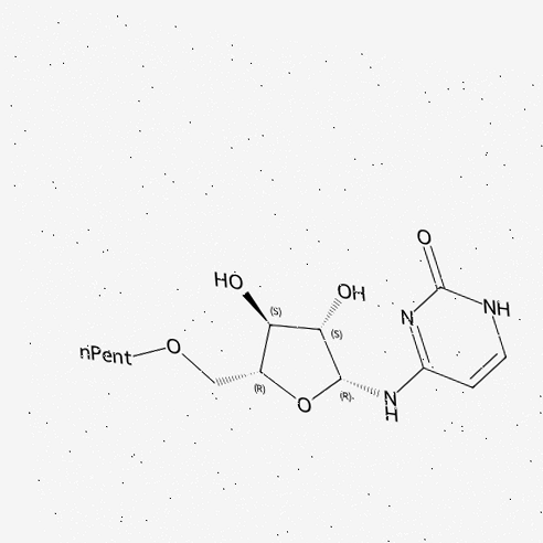 CCCCCOC[C@H]1O[C@@H](Nc2cc[nH]c(=O)n2)[C@@H](O)[C@@H]1O